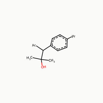 CC(=O)C(c1ccc(C(C)C)cc1)C(C)(C)O